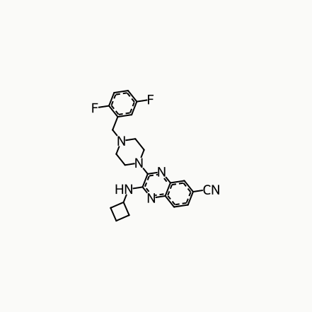 N#Cc1ccc2nc(NC3CCC3)c(N3CCN(Cc4cc(F)ccc4F)CC3)nc2c1